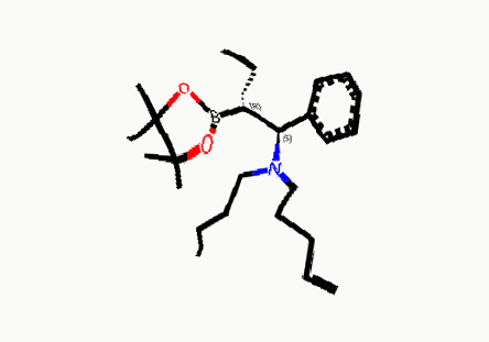 C=CCCCN(CCCC)[C@H](c1ccccc1)[C@@H](CC)B1OC(C)(C)C(C)(C)O1